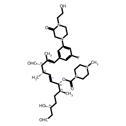 C/C(=C\c1cc(F)cc(N2CCN(CCO)C(=O)C2)c1)[C@@H](C=O)[C@@H](C)/C=C/[C@H](OC(=O)N1CCN(C)CC1)[C@@H](C)CC[C@@H](O)CC=O